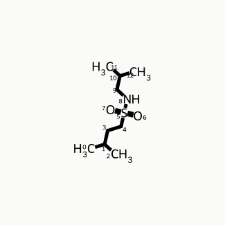 CC(C)CCS(=O)(=O)NCC(C)C